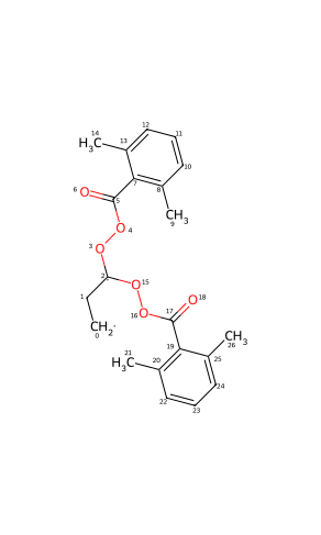 [CH2]C[C](OOC(=O)c1c(C)cccc1C)OOC(=O)c1c(C)cccc1C